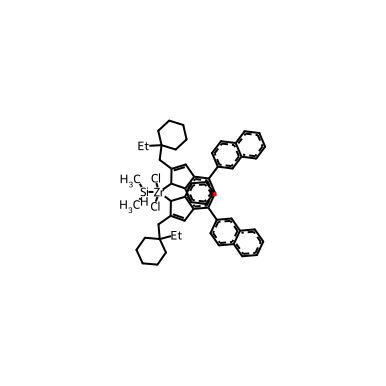 CCC1(CC2=Cc3c(-c4ccc5ccccc5c4)cccc3[CH]2[Zr]([Cl])([Cl])([CH]2C(CC3(CC)CCCCC3)=Cc3c(-c4ccc5ccccc5c4)cccc32)[SiH](C)C)CCCCC1